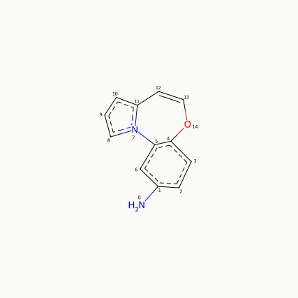 Nc1ccc2c(c1)-n1cccc1C=CO2